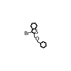 Brc1c(COCc2ccccc2)sc2ccccc12